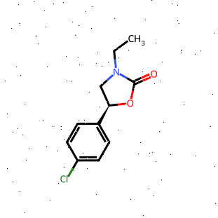 CCN1C[C@H](c2ccc(Cl)cc2)OC1=O